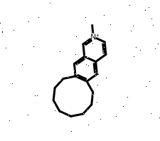 C[n+]1ccc2cc3c(cc2c1)CCCCCCCC3